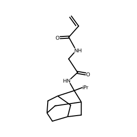 C=CC(=O)NCC(=O)NC1(C(C)C)C2CC3CC(C2)CC1C3